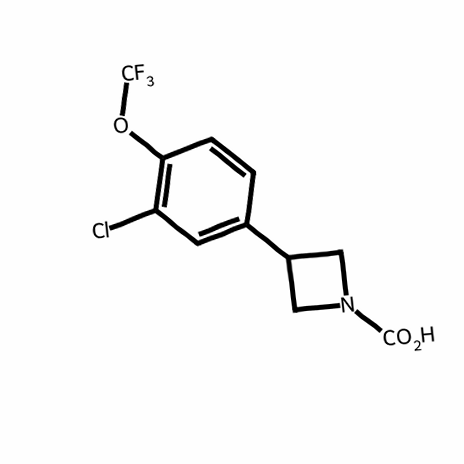 O=C(O)N1CC(c2ccc(OC(F)(F)F)c(Cl)c2)C1